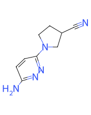 N#CC1CCN(c2ccc(N)nn2)C1